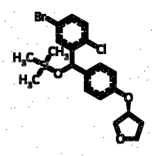 C[Si](C)(C)OC(c1ccc(O[C@H]2CCOC2)cc1)c1cc(Br)ccc1Cl